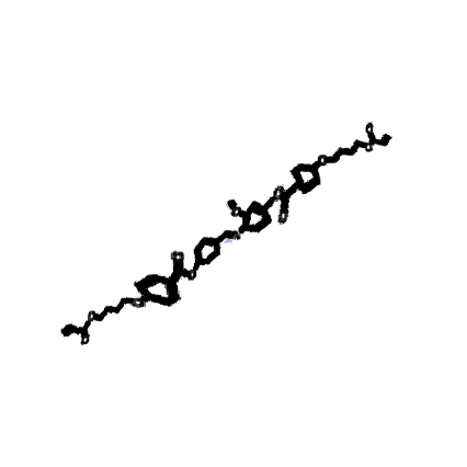 C=CC(=O)OCCCCOc1ccc(C(=O)Oc2ccc(/C=N/c3ccc(OC(=O)c4ccc(OCCCCOC(=O)C=C)cc4)cc3OC)cc2)cc1